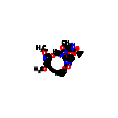 C=C[C@@H]1C[C@]1(NC(=O)[C@@H]1C[C@@H]2CN1C(=O)[C@H](C1CCCC1)NC(=O)O[C@H]1CCC[C@H]1CCCc1cc3c(cc(OCC)nc3cc1OC)O2)C(=O)NS(=O)(=O)C1CC1